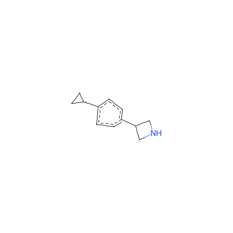 c1cc(C2CNC2)ccc1[C]1CC1